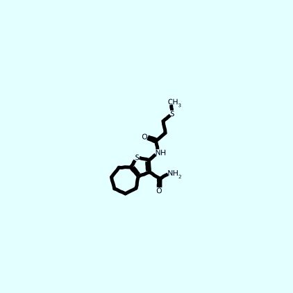 CSCCC(=O)Nc1sc2c(c1C(N)=O)CCCCC2